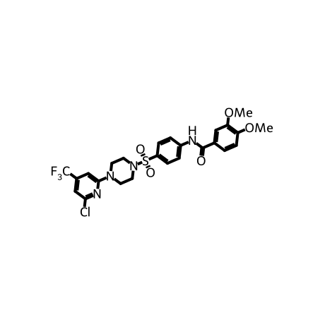 COc1ccc(C(=O)Nc2ccc(S(=O)(=O)N3CCN(c4cc(C(F)(F)F)cc(Cl)n4)CC3)cc2)cc1OC